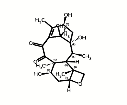 CC1=C2C(=O)C(=O)[C@]3(C)[C@H](O)C[C@H]4OC[C@@]4(C)[C@H]3[C@H](C)[C@](O)(C[C@@H]1O)C2(C)C